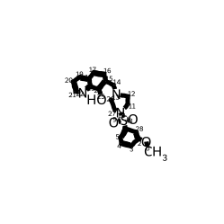 COc1cccc(S(=O)(=O)N2CCN(Cc3ccc4cccnc4c3O)CC2)c1